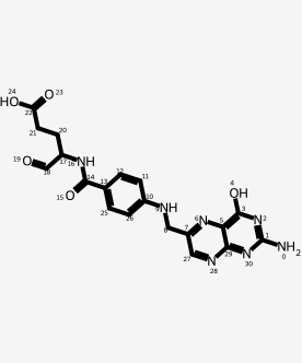 Nc1nc(O)c2nc(CNc3ccc(C(=O)NC(C=O)CCC(=O)O)cc3)cnc2n1